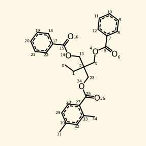 CCC(COC(=O)c1ccccc1)(COC(=O)c1ccccc1)COC(=O)c1ccc(C)cc1C